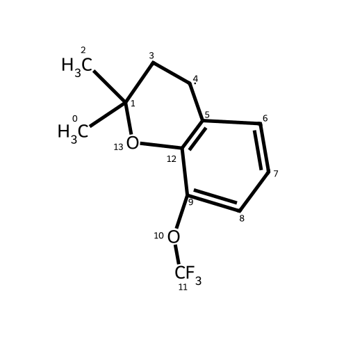 CC1(C)C[CH]c2cccc(OC(F)(F)F)c2O1